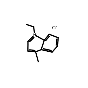 CC[n+]1ccc(C)c2ccccc21.[Cl-]